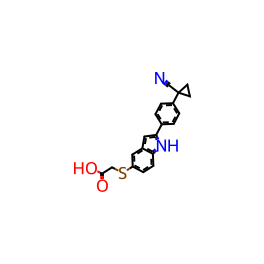 N#CC1(c2ccc(-c3cc4cc(SCC(=O)O)ccc4[nH]3)cc2)CC1